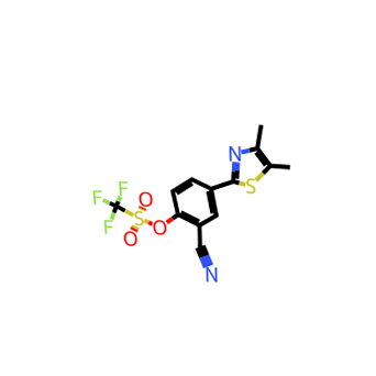 Cc1nc(-c2ccc(OS(=O)(=O)C(F)(F)F)c(C#N)c2)sc1C